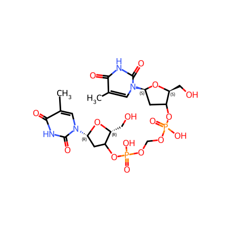 Cc1cn([C@@H]2CC(OP(=O)(O)OCOP(=O)(O)OC3C[C@H](n4cc(C)c(=O)[nH]c4=O)O[C@@H]3CO)[C@H](CO)O2)c(=O)[nH]c1=O